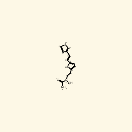 NC(=O)N(O)CCc1ccc(C=Cc2ccsc2)s1